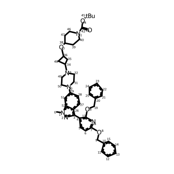 Cn1nc(-c2ccc(OCc3ccccc3)nc2OCc2ccccc2)c2ccc(N3CCN(C4CC(OC5CCN(C(=O)OC(C)(C)C)CC5)C4)CC3)cc21